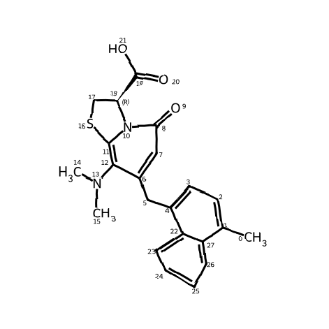 Cc1ccc(Cc2cc(=O)n3c(c2N(C)C)SC[C@H]3C(=O)O)c2ccccc12